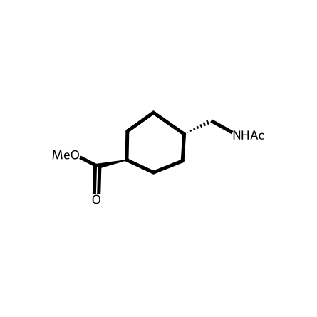 COC(=O)[C@H]1CC[C@H](CNC(C)=O)CC1